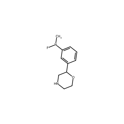 CN(F)c1cccc(C2CNCCO2)c1